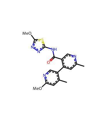 COc1cc(C)c(-c2cc(C)ncc2C(=O)Nc2nnc(OC)s2)cn1